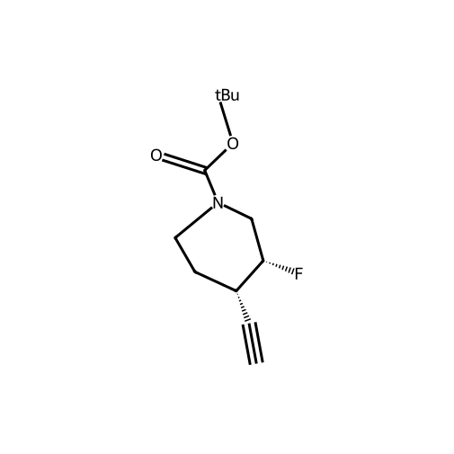 C#C[C@@H]1CCN(C(=O)OC(C)(C)C)C[C@@H]1F